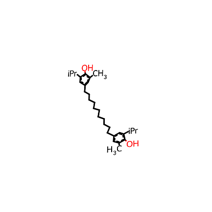 Cc1cc(CCCCCCCCCCCc2cc(C)c(O)c(C(C)C)c2)cc(C(C)C)c1O